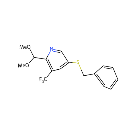 COC(OC)c1ncc(SCc2ccccc2)cc1C(F)(F)F